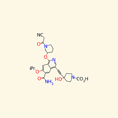 CC(C)Oc1cc2c(OC3CCCN(C(=O)CC#N)C3)ncc(C#CC3(O)CCN(C(=O)O)CC3)c2cc1C(N)=O